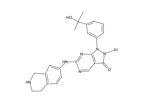 CCn1c(=O)c2cnc(Nc3ccc4c(c3)CNCC4)nc2n1-c1cccc(C(C)(C)O)c1